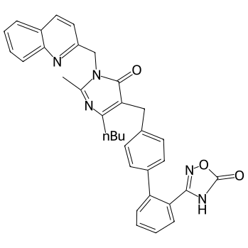 CCCCc1nc(C)n(Cc2ccc3ccccc3n2)c(=O)c1Cc1ccc(-c2ccccc2-c2noc(=O)[nH]2)cc1